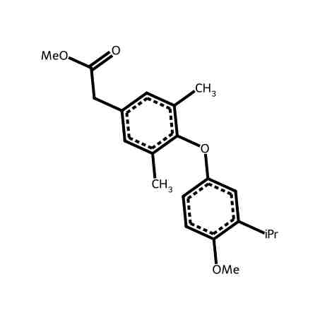 COC(=O)Cc1cc(C)c(Oc2ccc(OC)c(C(C)C)c2)c(C)c1